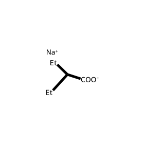 CCC(CC)C(=O)[O-].[Na+]